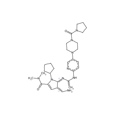 C=C(/N=C1\C(=C/N)C=C(C(=O)N(C)C)N1C1CCCC1)Nc1ccc(N2CCN(C(=O)N3CCCC3)CC2)cn1